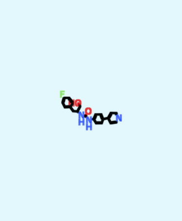 O=C(Nc1ccc(-c2ccncc2)cc1)NC(CO)Cc1ccc(F)cc1